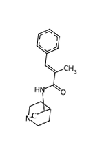 CC(=Cc1ccccc1)C(=O)NC1CN2CCC1CC2